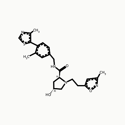 Cc1cc(CCN2C[C@H](O)C[C@H]2C(=O)NCc2ccc(-c3scnc3C)c(C)c2)on1